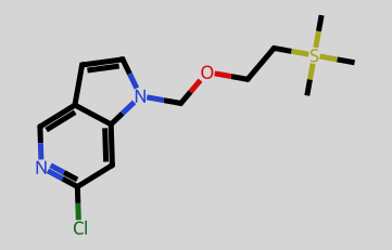 CS(C)(C)CCOCn1ccc2cnc(Cl)cc21